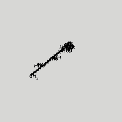 CCCCCCCCCC(O)CNCCCCCCNCC(O)CCCCCCCCC.O=S(=O)(O)c1ccccc1.O=S(=O)(O)c1ccccc1